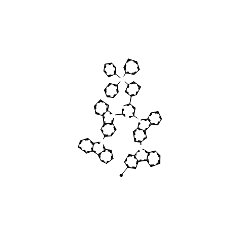 N#Cc1ccc2c(c1)c1ccccc1n2-c1ccc2c(c1)c1ccccc1n2-c1cc(-c2cccc([Si](c3ccccc3)(c3ccccc3)c3ccccc3)c2)nc(-n2c3ccccc3c3cc(-n4c5ccccc5c5ccccc54)ccc32)n1